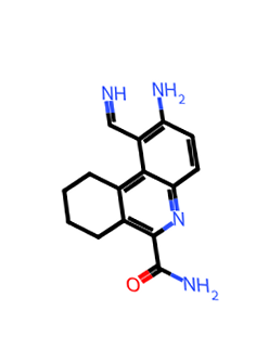 N=Cc1c(N)ccc2nc(C(N)=O)c3c(c12)CCCC3